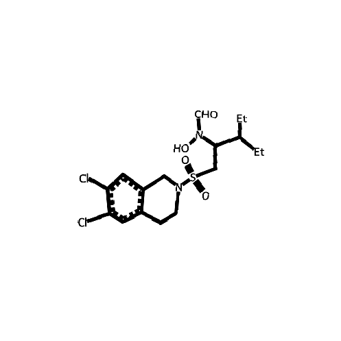 CCC(CC)C(CS(=O)(=O)N1CCc2cc(Cl)c(Cl)cc2C1)N(O)C=O